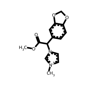 COC(=O)C(c1ccc2c(c1)OCO2)n1cc[n+](C)c1